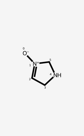 [O-][N+]1=CCNC1